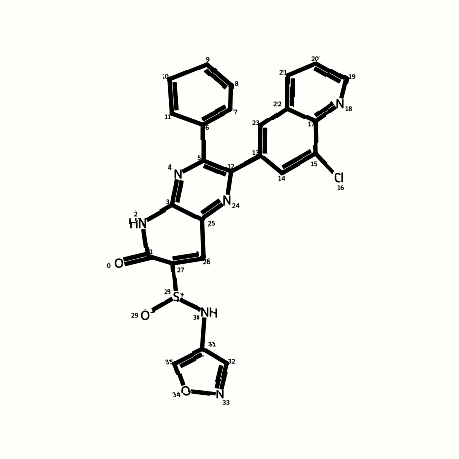 O=c1[nH]c2nc(-c3ccccc3)c(-c3cc(Cl)c4ncccc4c3)nc2cc1[S+]([O-])Nc1cnoc1